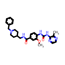 COc1cc(C(=O)NCC2CCN(Cc3ccccc3)CC2)ccc1NC(=O)Nc1nccnc1C